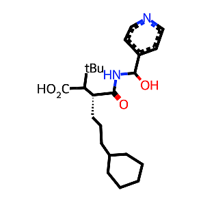 CC(C)(C)C(C(=O)O)[C@@H](CCCC1CCCCC1)C(=O)NC(O)c1ccncc1